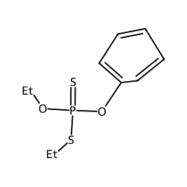 CCOP(=S)(Oc1ccccc1)SCC